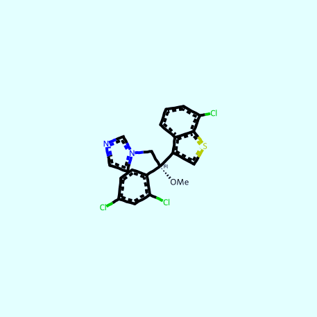 CO[C@@](Cn1ccnc1)(c1ccc(Cl)cc1Cl)c1csc2c(Cl)cccc12